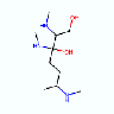 CNC(C)CCC(O)(NC)C(CO)NC